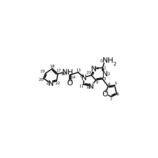 Nc1nc(-c2ccco2)c2ncn(CC(=O)Nc3cccnc3)c2n1